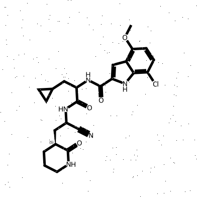 COc1ccc(Cl)c2[nH]c(C(=O)NC(CC3CC3)C(=O)NC(C#N)C[C@@H]3CCCNC3=O)cc12